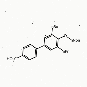 CCCCCCCCCOc1c(CCC)cc(-c2ccc(C(=O)O)cc2)cc1CCCC